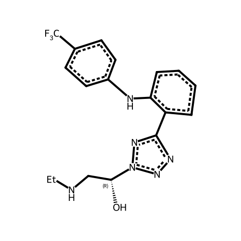 CCNC[C@@H](O)n1nnc(-c2ccccc2Nc2ccc(C(F)(F)F)cc2)n1